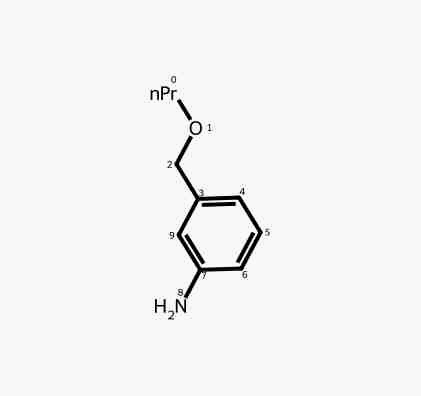 CCCOCc1cccc(N)c1